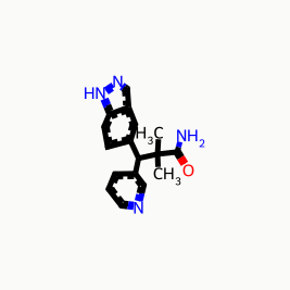 CC(C)(C(N)=O)C(c1cccnc1)c1ccc2[nH]ncc2c1